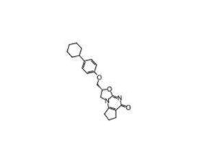 O=c1nc2n(c3c1CCC3)C[C@@H](COc1ccc(C3CCCCC3)cc1)O2